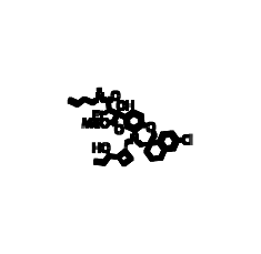 C=CCCN(C)C(=O)[C@H](CC)[C@@](O)(C(=O)OC)c1ccc2c(c1)N(C[C@@H]1CC[C@H]1[C@@H](O)C=C)C[C@@]1(CCCc3cc(Cl)ccc31)CO2